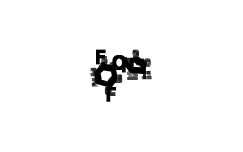 Fc1ccc(F)c(On2c[c]cc2)c1